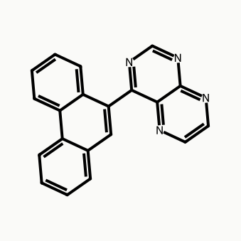 c1ccc2c(c1)cc(-c1ncnc3nccnc13)c1ccccc12